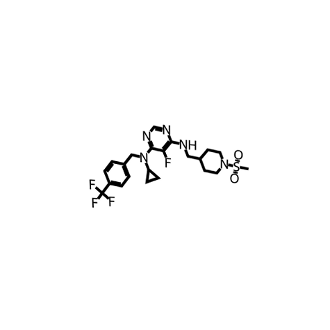 CS(=O)(=O)N1CCC(CNc2ncnc(N(Cc3ccc(C(F)(F)F)cc3)C3CC3)c2F)CC1